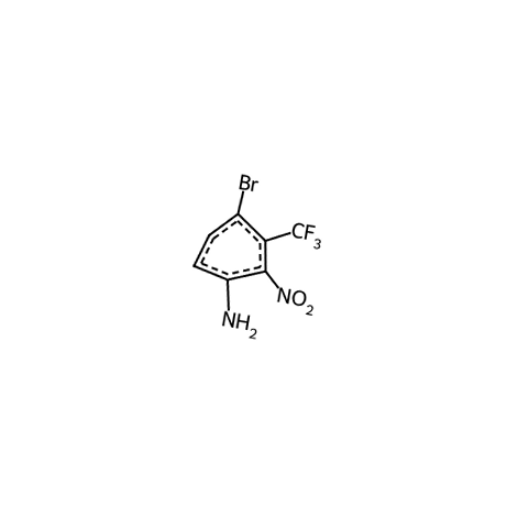 Nc1ccc(Br)c(C(F)(F)F)c1[N+](=O)[O-]